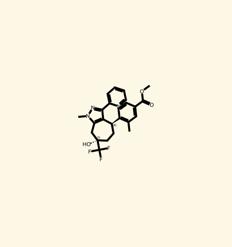 COC(=O)c1ccc([C@H]2CC[C@@](O)(C(F)(F)F)Cc3c2c(-c2ccccn2)nn3C)c(C)c1